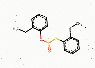 CCc1ccccc1O[PH](=O)Sc1ccccc1CC